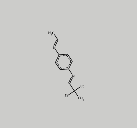 C/C=N/c1ccc(/N=C/C(C)(CC)CC)cc1